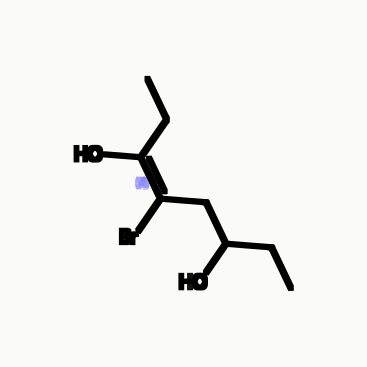 CC/C(O)=C(/Br)CC(O)CC